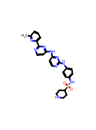 Cc1cccc(-c2nccc(Nc3ccnc(Nc4ccc(NS(=O)(=O)C5CCNCC5)cc4)n3)n2)n1